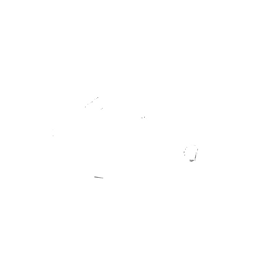 C[P@@]1(=O)C=CCC1